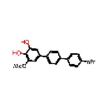 CCCc1ccc(-c2ccc(-c3cc(O)c(O)c(OC)c3)cc2)cc1